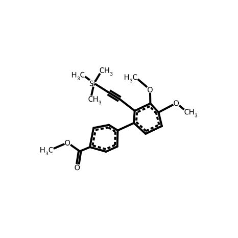 COC(=O)c1ccc(-c2ccc(OC)c(OC)c2C#C[Si](C)(C)C)cc1